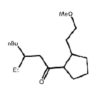 CCCCC(CC)CC(=O)C1CCCC1CCOC